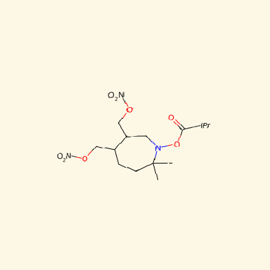 CC(C)C(=O)ON1CC(CO[N+](=O)[O-])C(CO[N+](=O)[O-])CCC1(C)C